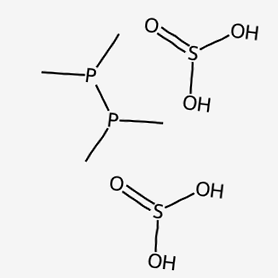 CP(C)P(C)C.O=S(O)O.O=S(O)O